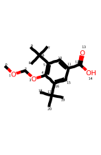 COCOc1c(C(C)(C)C)cc(C(=O)O)cc1C(C)(C)C